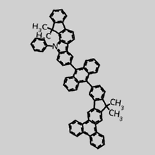 CC1(C)c2ccc(-c3c4ccccc4c(-c4ccc5c(c4)c4ccc6c(c4n5-c4ccccc4)C(C)(C)c4ccccc4-6)c4ccccc34)cc2-c2cc3c4ccccc4c4ccccc4c3cc21